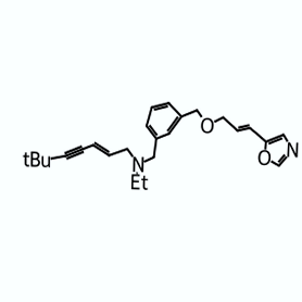 CCN(CC=CC#CC(C)(C)C)Cc1cccc(COC/C=C/c2cnco2)c1